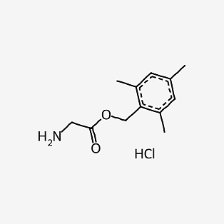 Cc1cc(C)c(COC(=O)CN)c(C)c1.Cl